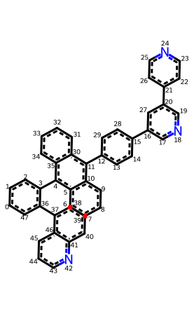 c1ccc(-c2c3ccccc3c(-c3ccc(-c4cncc(-c5ccncc5)c4)cc3)c3ccccc23)c(-c2cccc3ncccc23)c1